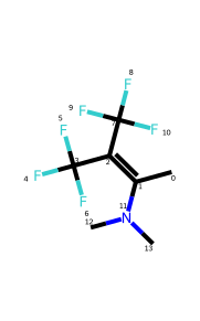 CC(=C(C(F)(F)F)C(F)(F)F)N(C)C